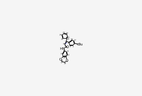 CC(C)(C)c1ccc(/C(=C\C(=O)Nc2ccc3c(c2)OCCO3)c2ccccc2)cc1